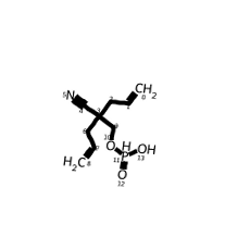 C=CCC(C#N)(CC=C)CO[PH](=O)O